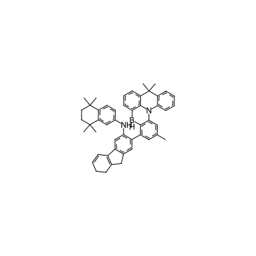 Cc1cc(-c2cc3c(cc2Nc2ccc4c(c2)C(C)(C)CCC4(C)C)C2=C(CCC=C2)C3)c2c(c1)N1c3ccccc3C(C)(C)c3cccc(c31)B2